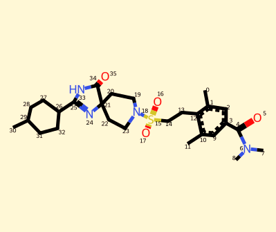 Cc1cc(C(=O)N(C)C)cc(C)c1CCS(=O)(=O)N1CCC2(CC1)N=C(C1CCC(C)CC1)NC2=O